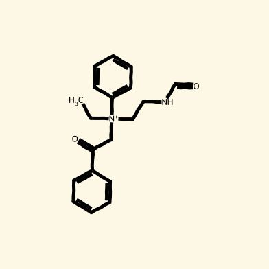 CC[N+](CCNC=O)(CC(=O)c1ccccc1)c1ccccc1